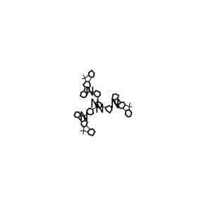 CC1(C)c2ccccc2-c2cc3c(cc21)c1ccccc1n3-c1ccc(-c2nc(-c3cccc(-n4c5ccccc5c5cc6c(cc54)-c4ccccc4C6(C)C)c3)cc(-c3cccc(-n4c5ccccc5c5cc6c(cc54)-c4ccccc4C6(C)C)c3)n2)cc1